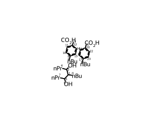 CCCCC(C(O)CCC)C(O)CCC.CCCCc1ccc(C(=O)O)cc1.CCCCc1ccc(C(=O)O)cc1